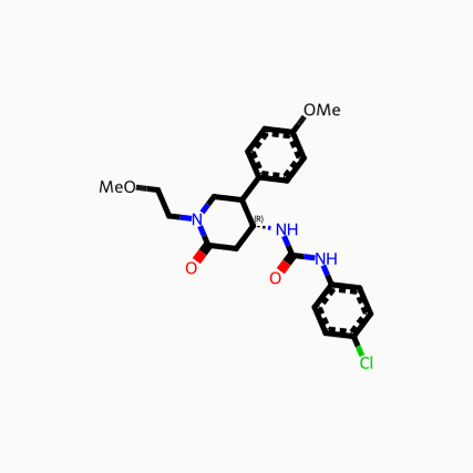 COCCN1CC(c2ccc(OC)cc2)[C@H](NC(=O)Nc2ccc(Cl)cc2)CC1=O